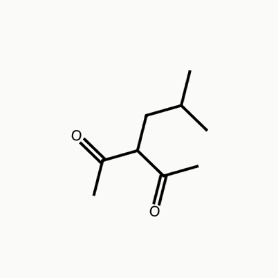 CC(=O)C(CC(C)C)C(C)=O